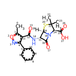 Cc1onc(-c2ccccc2)c1C(=O)N[C@H]1C(=O)N2[C@@H]1SC(C)(C)[C@H]2C(=O)O